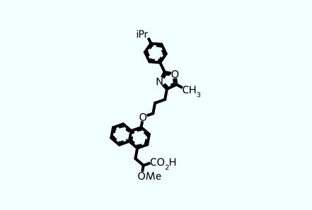 COC(Cc1ccc(OCCCc2nc(-c3ccc(C(C)C)cc3)oc2C)c2ccccc12)C(=O)O